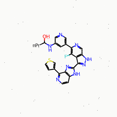 CCCC(O)Nc1cncc(-c2ncc3[nH]nc(-c4nc5c(-c6ccsc6)nccc5[nH]4)c3c2F)c1